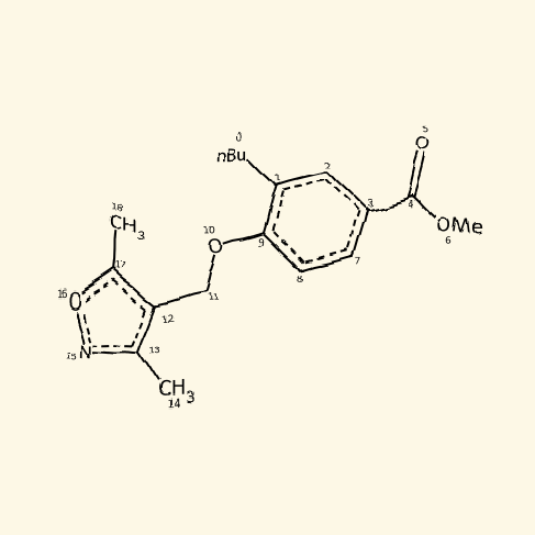 CCCCc1cc(C(=O)OC)ccc1OCc1c(C)noc1C